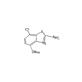 COc1ccc(Cl)c2sc(N)nc12